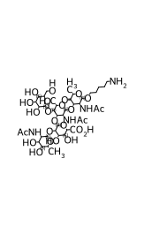 CC(=O)NC1C(O[C@@H]2OC(C)[C@@H](O[C@@H]3OC(CO)[C@@H](O)C(O)C3O)C(O[C@@H]3OC(C(=O)O)[C@@H](O)C(O)C3O[C@@H]3OC(C)[C@@H](O)C(O)C3NC(C)=O)C2NC(C)=O)C(=O)C(C)O[C@H]1OCCCCCN